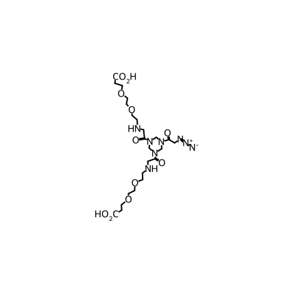 [N-]=[N+]=NCC(=O)N1CN(C(=O)CNCCOCCOCCC(=O)O)CN(C(=O)CNCCOCCOCCC(=O)O)C1